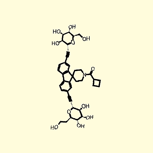 O=C(C1CCC1)N1CCC2(CC1)c1cc(C#C[C@H]3O[C@H](CO)[C@@H](O)[C@H](O)[C@@H]3O)ccc1-c1ccc(C#C[C@H]3O[C@H](CCO)[C@@H](O)[C@H](O)[C@@H]3O)cc12